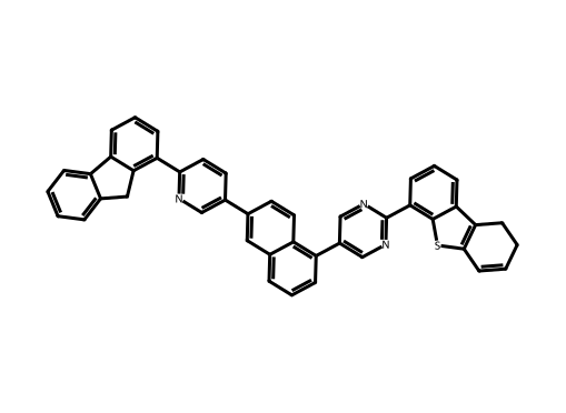 C1=Cc2sc3c(-c4ncc(-c5cccc6cc(-c7ccc(-c8cccc9c8Cc8ccccc8-9)nc7)ccc56)cn4)cccc3c2CC1